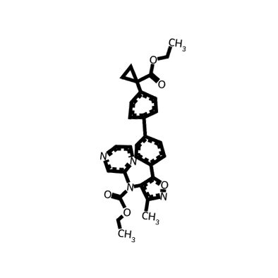 CCOC(=O)N(c1cnccn1)c1c(C)noc1-c1ccc(-c2ccc(C3(C(=O)OCC)CC3)cc2)cc1